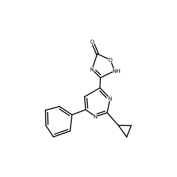 O=c1nc(-c2cc(-c3ccccc3)nc(C3CC3)n2)[nH]o1